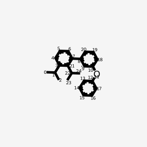 CC(C)c1cccc(-c2[c]c(Oc3ccccc3)ccc2)c1C(C)C